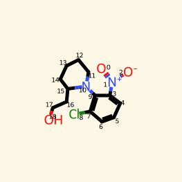 O=[N+]([O-])c1cccc(Cl)c1N1CCCCC1CCO